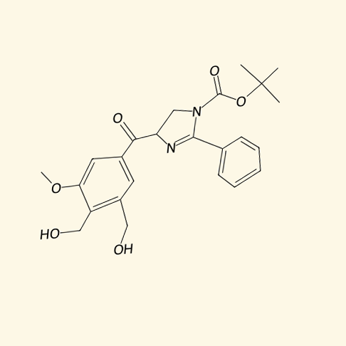 COc1cc(C(=O)C2CN(C(=O)OC(C)(C)C)C(c3ccccc3)=N2)cc(CO)c1CO